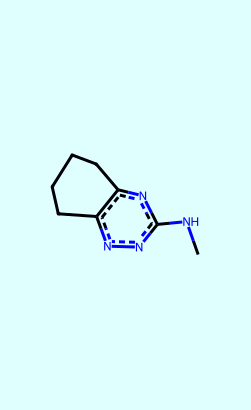 CNc1nnc2c(n1)CCCC2